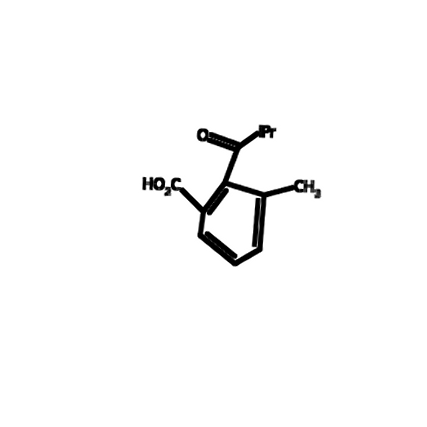 Cc1cccc(C(=O)O)c1C(=O)C(C)C